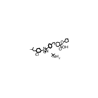 CC(C)(C)N.CC(C)Cc1ccc(-c2nc(-c3ccc(CN4CCC(COC5CCCC5)(C(=O)O)CC4)cc3)no2)cc1Cl